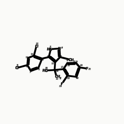 Cc1n[nH]c(-c2ccc(Cl)cc2Cl)c1C(C)(O)c1ccc(F)cc1F